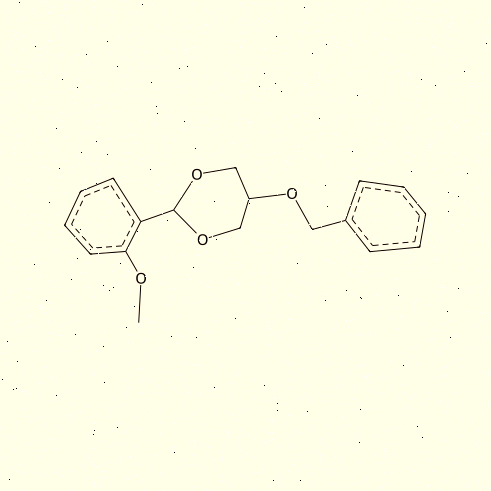 COc1ccccc1C1OCC(OCc2ccccc2)CO1